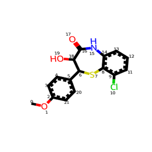 COc1ccc(C2Sc3c(Cl)cccc3NC(=O)C2O)cc1